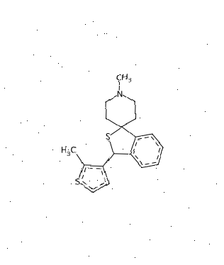 Cc1sccc1C1SC2(CCN(C)CC2)c2ccccc21